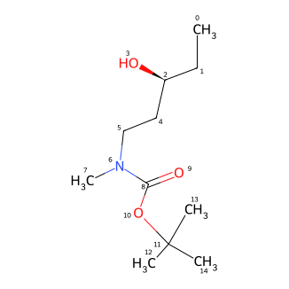 CC[C@H](O)CCN(C)C(=O)OC(C)(C)C